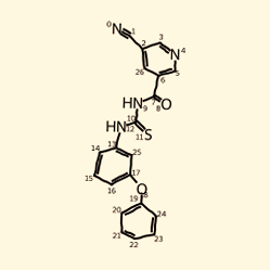 N#Cc1cncc(C(=O)NC(=S)Nc2cccc(Oc3ccccc3)c2)c1